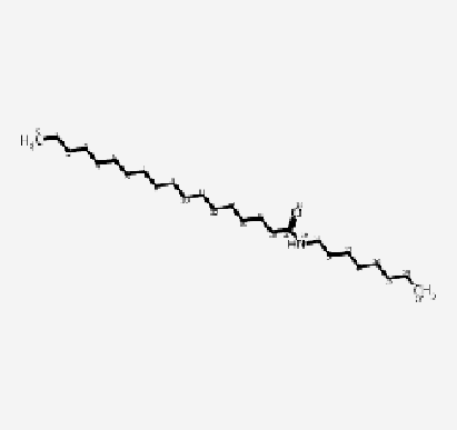 CCCCCCCCCCCCCCCCCC(=O)NCCCCCCCC